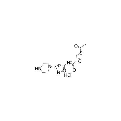 CC(=O)SC[C@@H](C)C(=O)[N-]c1c[n+](N2CCNCC2)no1.Cl